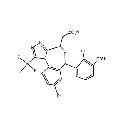 COc1cccc(C2OC(CC(=O)O)c3nnc(C(C)(F)F)n3-c3ccc(Br)cc32)c1Cl